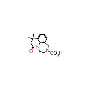 CC1(C)CC(=O)N2CCN(C(=O)O)Cc3cccc1c32